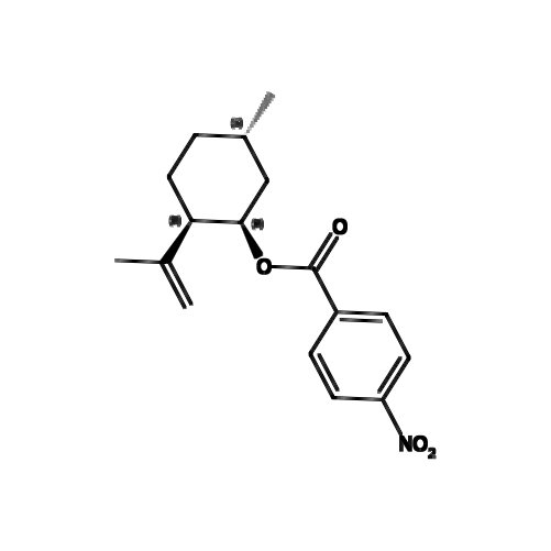 C=C(C)[C@H]1CC[C@H](C)C[C@H]1OC(=O)c1ccc([N+](=O)[O-])cc1